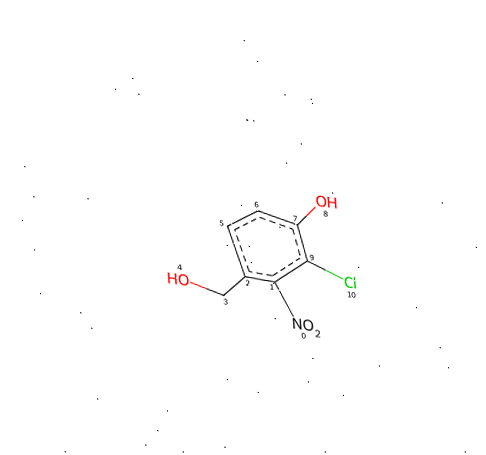 O=[N+]([O-])c1c(CO)ccc(O)c1Cl